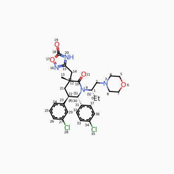 CC[C@@H](CN1CCOCC1)N1C(=O)[C@@](C)(Cc2noc(=O)[nH]2)C[C@H](c2cccc(Cl)c2)[C@H]1c1ccc(Cl)cc1